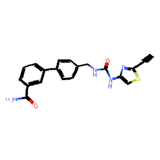 C#Cc1nc(NC(=O)NCc2ccc(-c3cccc(C(N)=O)c3)cc2)cs1